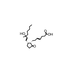 CCCCCC(C)(O)C=C[C@H]1CCC(=O)[C@H]1CCC=CCCC(=O)O